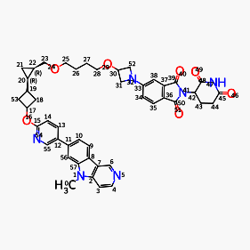 Cn1c2ccncc2c2ccc(-c3ccc(OC4CC([C@H]5C[C@H]5COCCCCOC5CN(c6ccc7c(c6)C(=O)N(C6CCC(=O)NC6=O)C7=O)C5)C4)nc3)cc21